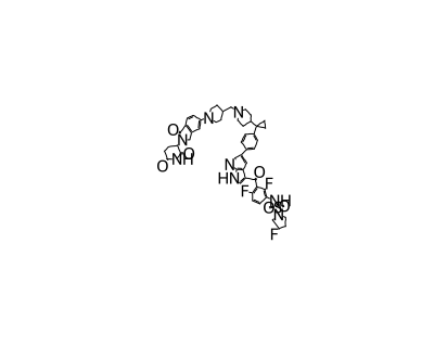 O=C1CCC(N2Cc3cc(N4CCC(CN5CCC(C6(c7ccc(-c8cnc9[nH]cc(C(=O)c%10c(F)ccc(NS(=O)(=O)N%11CC[C@@H](F)C%11)c%10F)c9c8)cc7)CC6)CC5)CC4)ccc3C2=O)C(=O)N1